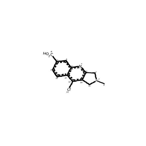 CN1Cc2nc3cc(C(=O)O)ccc3c(Cl)c2C1